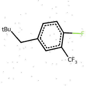 CC(C)(C)Cc1ccc(F)c(C(F)(F)F)c1